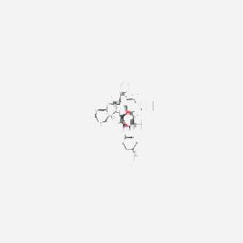 O=C(NCc1ccc(F)cc1)C1CNCC2C(=O)OC(Cc3ccccc3)(Cc3ccccc3)N12